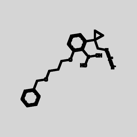 [N-]=[N+]=NCC1(c2cccc(OCCCOCc3ccccc3)c2B(O)O)CC1